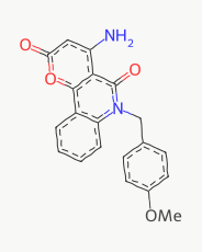 COc1ccc(Cn2c(=O)c3c(N)cc(=O)oc3c3ccccc32)cc1